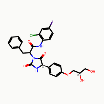 O=C(Nc1ccc(I)cc1Cl)C(Cc1ccccc1)N1C(=O)N[C@H](c2ccc(OC[C@H](O)CO)cc2)C1=O